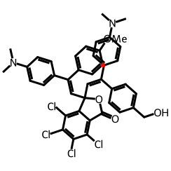 COc1ccc(/C(=C\C2(/C=C(\c3ccc(CO)cc3)c3ccc(N(C)C)cc3)OC(=O)c3c(Cl)c(Cl)c(Cl)c(Cl)c32)c2ccc(N(C)C)cc2)cc1